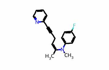 C/C(=C/CC#Cc1ccccn1)N(C)c1ccc(F)cc1